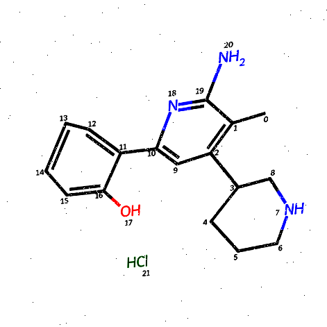 Cc1c(C2CCCNC2)cc(-c2ccccc2O)nc1N.Cl